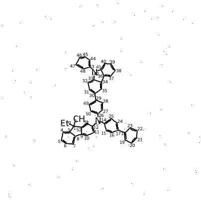 CCC1(C)c2ccccc2-c2ccc(N(c3ccc(-c4ccccc4)cc3)c3ccc(-c4ccc5c(c4)c4ccccc4n5-c4ccccc4)cc3)cc21